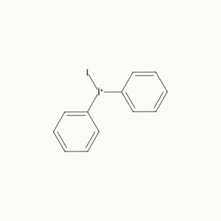 I[I+](c1ccccc1)c1ccccc1